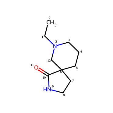 CCN1CCCC2(CCNC2=O)C1